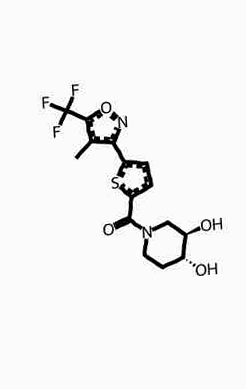 Cc1c(-c2ccc(C(=O)N3CC[C@@H](O)[C@H](O)C3)s2)noc1C(F)(F)F